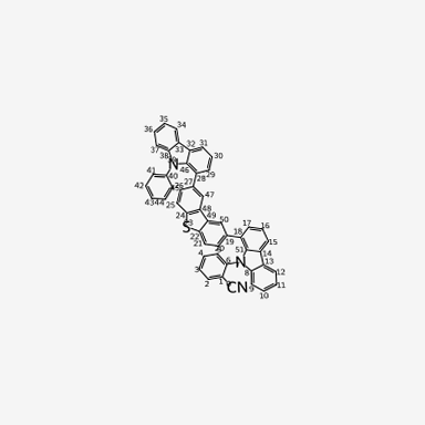 N#Cc1ccccc1-n1c2ccccc2c2cccc(-c3ccc4sc5ccc(-c6cccc7c8ccccc8n(-c8ccccc8)c67)cc5c4c3)c21